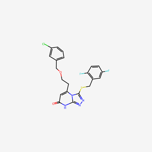 O=c1cc(CCOCc2cccc(Cl)c2)n2c(SCc3cc(F)ccc3F)nnc2[nH]1